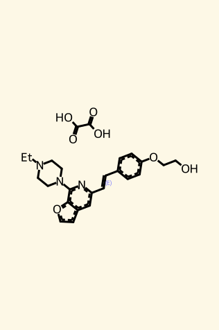 CCN1CCN(c2nc(/C=C/c3ccc(OCCO)cc3)cc3ccoc23)CC1.O=C(O)C(=O)O